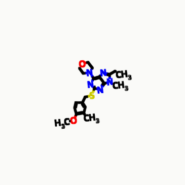 CCc1nc2c(N3CCOCC3)nc(SCc3ccc(OC)c(C)c3)nc2n1C